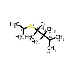 CC(C)SC(C)(C)C(C)(C)C(C)C